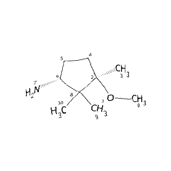 CO[C@]1(C)CC[C@@H](N)C1(C)C